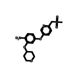 CS(=O)(=O)Cc1ccc(Oc2ccc([N+](=O)[O-])c(OC3CCOCC3)c2)cn1